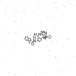 Nc1ncnc2c1c(-c1ccc(CNC(=O)c3cc4ccccc4s3)cc1)nn2C1CCCC1